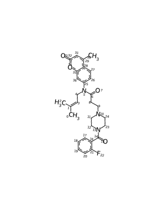 CC(C)=CCN(C(=O)CCN1CCN(C(=O)c2ccccc2F)CC1)c1ccc2c(C)cc(=O)oc2c1